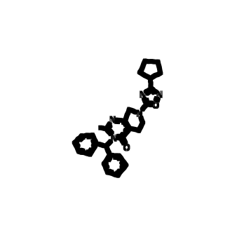 Cc1nc2c(c(=O)n1C(c1ccccc1)c1ccccc1)CCN(c1nc(C3CCCC3)no1)C2